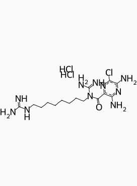 Cl.Cl.N=C(N)NCCCCCCCCN(C(=N)N)C(=O)c1nc(Cl)c(N)nc1N